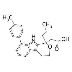 CCCC1(CC(=O)O)OCCc2c1[nH]c1c(-c3ccc(C)cc3)cccc21